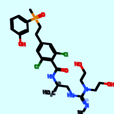 CP(=O)(CCc1cc(Cl)c(C(=O)N[C@@H](CN/C(=N\C#N)N(CCO)CCO)C(=O)O)c(Cl)c1)c1cccc(O)c1